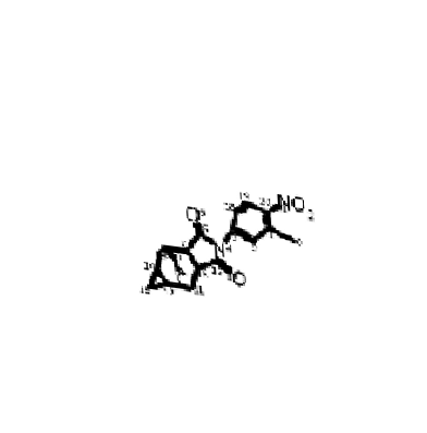 Cc1cc(N2C(=O)C3C4CCC(C5CC54)C3C2=O)ccc1[N+](=O)[O-]